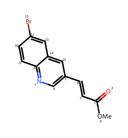 COC(=O)C=Cc1cnc2ccc(Br)cc2c1